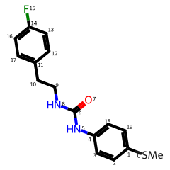 CSc1ccc(NC(=O)NCCc2ccc(F)cc2)cc1